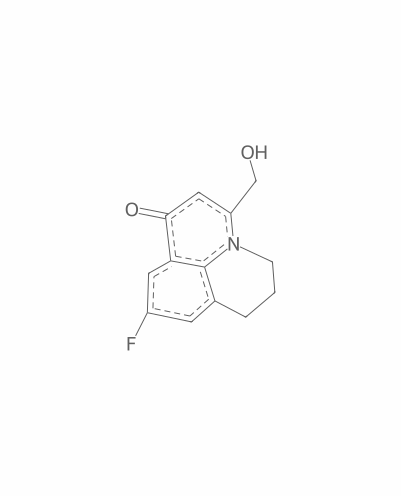 O=c1cc(CO)n2c3c(cc(F)cc13)CCC2